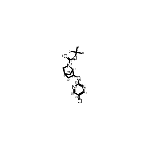 CC(C)(C)OC(=O)N1CC2CC(Oc3ncc(Cl)cn3)C1C2